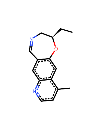 CC[C@@H]1CN=Cc2cc3nccc(C)c3cc2O1